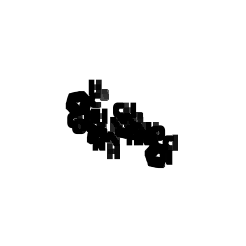 Cc1nc(NNC(=O)c2cccnc2Cl)cc(Nc2ncc(C(=O)Nc3c(C)cccc3Cl)s2)n1